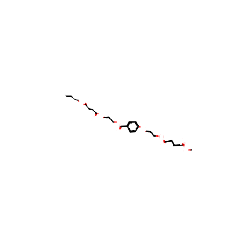 CCCCCOC(=O)CCC(=O)OCCCOC(=O)c1ccc(OCCCOC(=O)CCC(=O)OCC)cc1